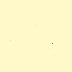 Cn1c(CC(=O)n2ccnc2)c2n(c1=S)C[C@@H](c1c(F)cccc1F)C2